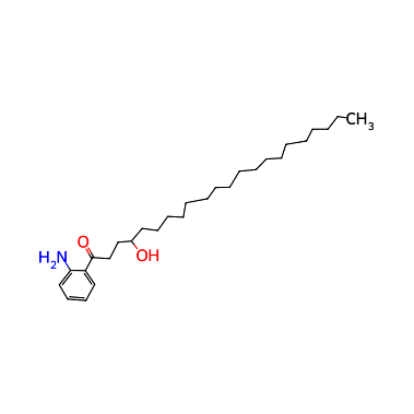 CCCCCCCCCCCCCCCCCCC(O)CCC(=O)c1ccccc1N